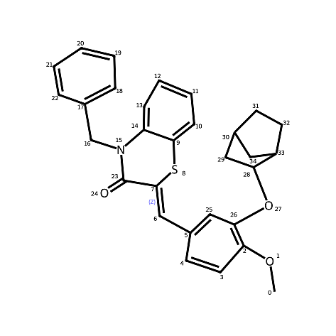 COc1ccc(/C=C2\Sc3ccccc3N(Cc3ccccc3)C2=O)cc1OC1CC2CCC1C2